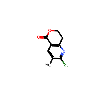 N#Cc1cc2c(nc1Cl)CCOC2=O